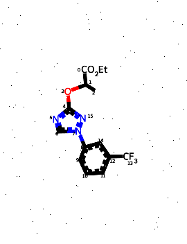 CCOC(=O)C(C)Oc1ncn(-c2cccc(C(F)(F)F)c2)n1